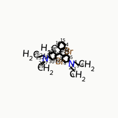 C=CCN(CC=C)c1ccc(C(c2ccccc2C)c2ccc(N(CC=C)CC=C)cc2Br)c(Br)c1